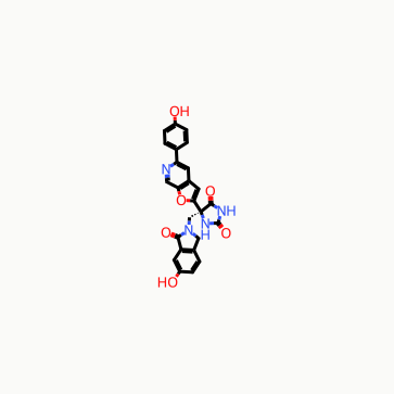 O=C1NC(=O)[C@](CN2Cc3ccc(O)cc3C2=O)(c2cc3cc(-c4ccc(O)cc4)ncc3o2)N1